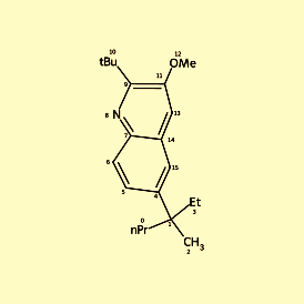 CCCC(C)(CC)c1ccc2nc(C(C)(C)C)c(OC)cc2c1